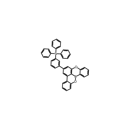 c1ccc([Si](c2ccccc2)(c2ccccc2)c2cccc(-c3cc4c5c(c3)-c3ccccc3OB5c3ccccc3O4)c2)cc1